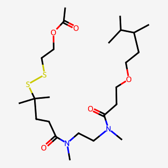 CC(=O)OCCSSC(C)(C)CCC(=O)N(C)CCN(C)C(=O)CCOCCC(C)C(C)C